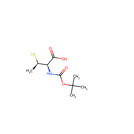 C[C@@H](S)[C@H](NC(=O)OC(C)(C)C)C(=O)O